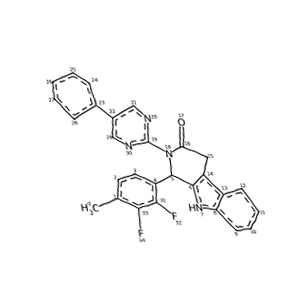 Cc1ccc(C2c3[nH]c4ccccc4c3CC(=O)N2c2ncc(-c3ccccc3)cn2)c(F)c1F